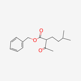 CC(=O)C(CCC(C)C)C(=O)OCc1ccccc1